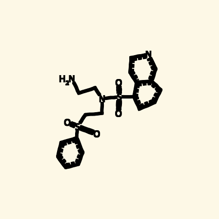 NCCN(CCS(=O)(=O)c1ccccc1)S(=O)(=O)c1cccc2cnccc12